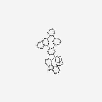 c1cc(-c2ccc3c(c2)C2(c4c-3ccc3sc5ccccc5c43)C3CC4CC(C3)CC2C4)cc(-c2ccccc2-c2ccc3ccccc3c2)c1